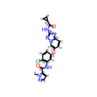 Cn1nccc1C(=O)Nc1cc(Oc2ccc3nc(NC(=O)C4CC4)nn3c2)ccc1Cl